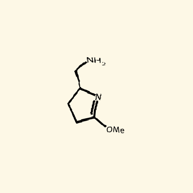 COC1=N[C@H](CN)CC1